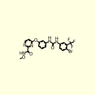 CONC(=O)c1nccc(Oc2cccc(NC(=O)Nc3ccc(Br)c(C(F)(F)F)c3)c2)n1